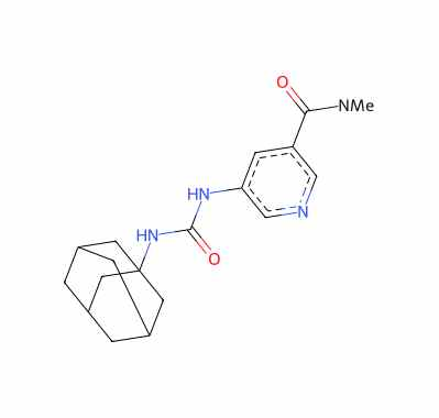 CNC(=O)c1cncc(NC(=O)NC23CC4CC(CC(C4)C2)C3)c1